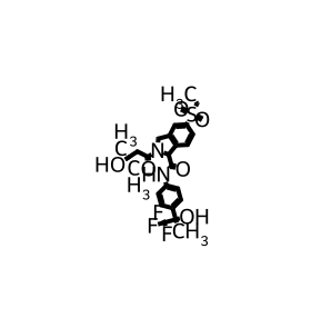 CCS(=O)(=O)c1ccc2c(c1)CN(C(=O)CC(C)(C)O)C2C(=O)Nc1ccc(C(C)(O)C(F)(F)F)cc1